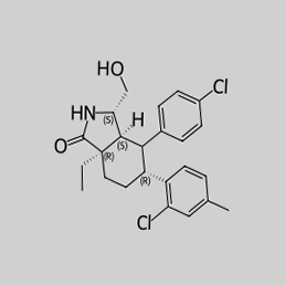 CC[C@@]12CC[C@@H](c3ccc(C)cc3Cl)C(c3ccc(Cl)cc3)[C@@H]1[C@@H](CO)NC2=O